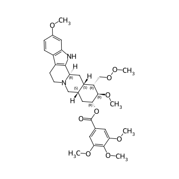 COOC[C@H]1[C@H]2C[C@@H]3c4[nH]c5cc(OC)ccc5c4CCN3C[C@H]2C[C@@H](OC(=O)c2cc(OC)c(OC)c(OC)c2)[C@@H]1OC